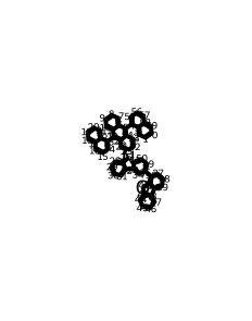 c1ccc2c(-c3c4ccccc4c(-c4cccc5ccccc45)c4cc(-n5c6ccccc6c6cc(-c7cccc8c7oc7ccccc78)ccc65)ccc34)cccc2c1